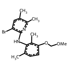 COCOc1ccc(C)c(Nc2nc(C)c(C)cc2Br)c1C